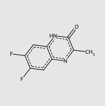 Cc1nc2cc(F)c(F)cc2[nH]c1=O